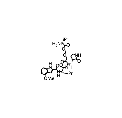 COc1cccc2[nH]c(C(=O)N[C@@H](CC(C)C)C(=O)N[C@@H](C[C@@H]3CCNC3=O)C(=O)COCOC(=O)[C@H](N)C(C)C)cc12